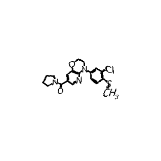 CSc1ccc(N2CCOc3cc(C(=O)N4CCCC4)cnc32)cc1Cl